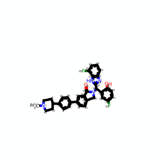 CN1CCC(c2ccc(-c3ccc4c(c3)C(=O)N(C(c3nc5cccc(F)c5[nH]3)c3cc(F)ccc3O)C4)cc2)CC1